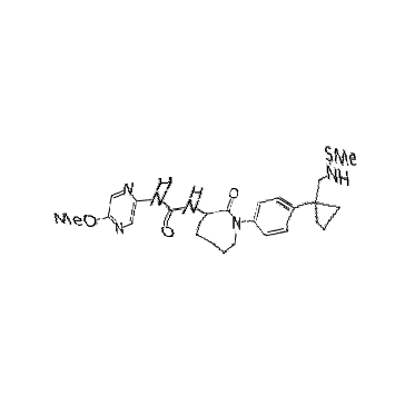 COc1cnc(NC(=O)NC2CCCN(c3ccc(C4(CNSC)CC4)cc3)C2=O)cn1